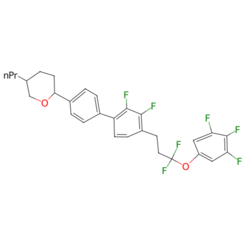 CCCC1CCC(c2ccc(-c3ccc(CCC(F)(F)Oc4cc(F)c(F)c(F)c4)c(F)c3F)cc2)OC1